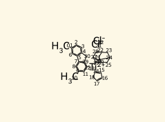 Cc1ccc2c(c1)-c1cc(C)c[c]([Ti+2]([C]3=CC=CC3)=[C]3C4CC5CC(C4)CC3C5)c1C2.[Cl-].[Cl-]